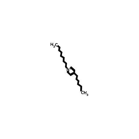 CCCCCCCCC[n+]1ccc(CCCCCCC)cc1